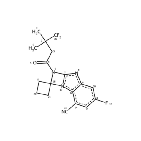 CC(C)(CC(=O)N1c2nc3cc(F)cc(C#N)c3n2C12CCC2)C(F)(F)F